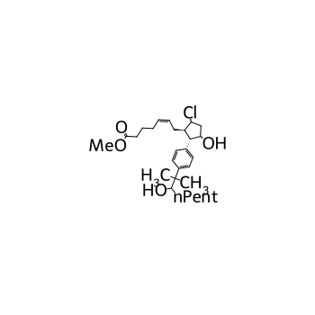 CCCCCC(O)C(C)(C)c1ccc([C@@H]2[C@@H](C/C=C\CCCC(=O)OC)[C@@H](Cl)C[C@H]2O)cc1